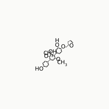 COc1cc(-c2ccc(O)cc2)c(OC)c(O)c1-c1ccc(OCC2CC=CO2)c(O)c1